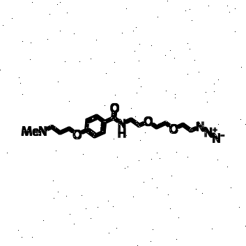 CNCCCOc1ccc(C(=O)NCCOCCOCCN=[N+]=[N-])cc1